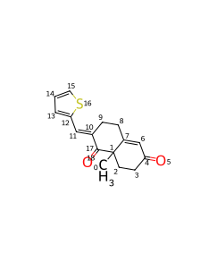 CC12CCC(=O)C=C1CCC(=Cc1cccs1)C2=O